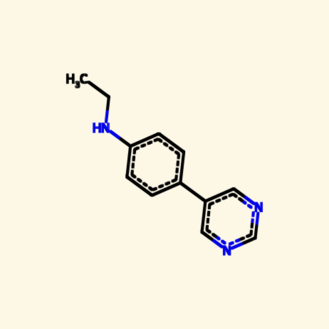 CCNc1ccc(-c2cncnc2)cc1